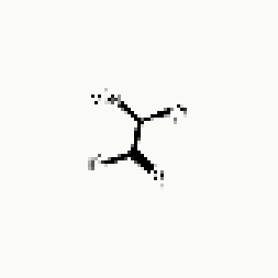 CCC[C@H](NC)C(=O)C(C)C